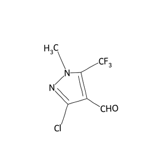 Cn1nc(Cl)c(C=O)c1C(F)(F)F